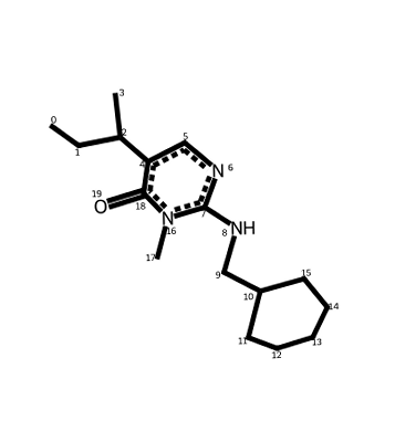 CCC(C)c1cnc(NCC2CCCCC2)n(C)c1=O